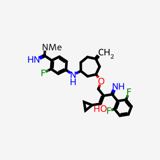 C=C1CCC(Nc2ccc(C(=N)NC)c(F)c2)CC(OC/C(C(=N)c2c(F)cccc2F)=C(/O)C2CC2)C1